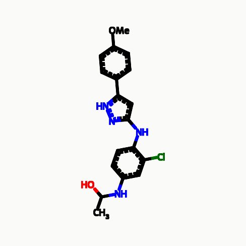 COc1ccc(-c2cc(Nc3ccc(NC(C)O)cc3Cl)n[nH]2)cc1